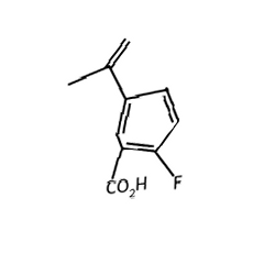 C=C(C)c1ccc(F)c(C(=O)O)c1